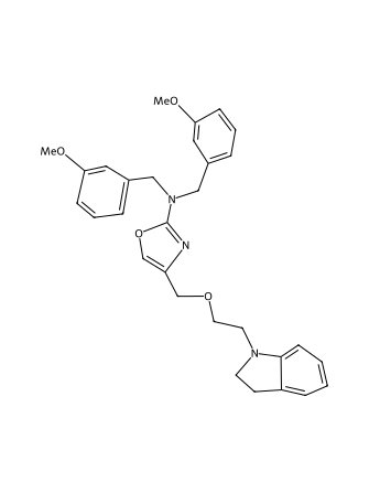 COc1cccc(CN(Cc2cccc(OC)c2)c2nc(COCCN3CCc4ccccc43)co2)c1